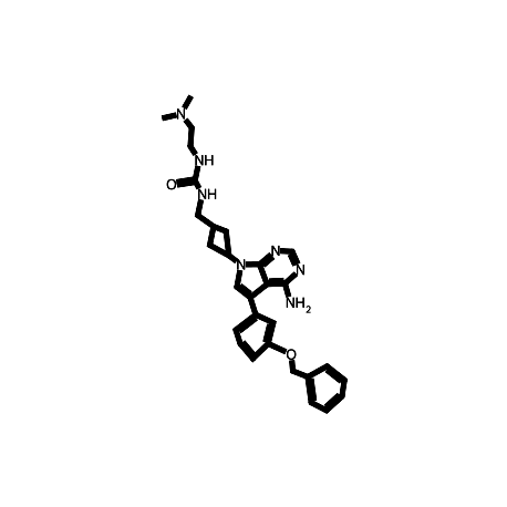 CN(C)CCNC(=O)NCC1CC(n2cc(-c3cccc(OCc4ccccc4)c3)c3c(N)ncnc32)C1